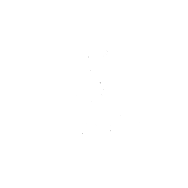 Cc1ccc2c(-c3ccoc3)cc(=O)oc2c1